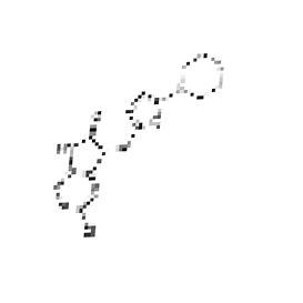 O=C1Nc2ccc(Cl)cc2C1=Cc1ccc(N2CCOCC2)s1